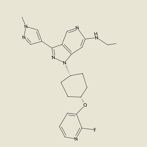 CCNc1cc2c(cn1)c(-c1cnn(C)c1)nn2[C@H]1CC[C@@H](Oc2cccnc2F)CC1